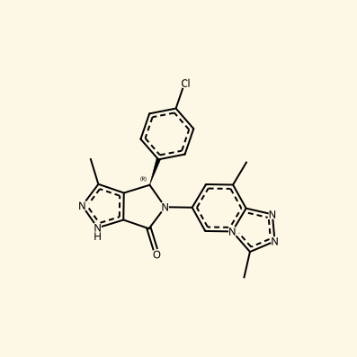 Cc1n[nH]c2c1[C@@H](c1ccc(Cl)cc1)N(c1cc(C)c3nnc(C)n3c1)C2=O